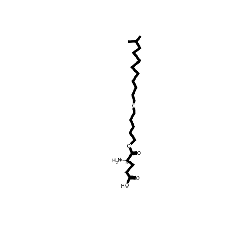 CC(C)CCCCCCCCCCCCCCCOC(=O)[C@@H](N)CCC(=O)O